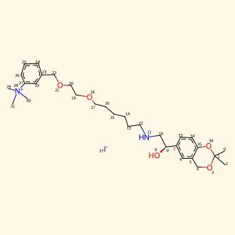 CC1(C)OCc2cc([C@@H](O)CNCCCCCCOCCOCc3cccc([N+](C)(C)C)c3)ccc2O1.[I-]